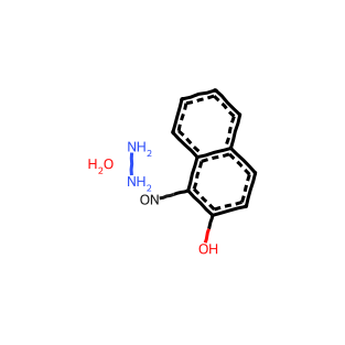 NN.O.O=Nc1c(O)ccc2ccccc12